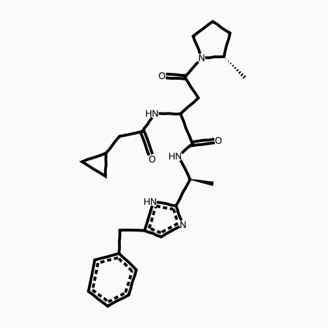 C[C@H](NC(=O)C(CC(=O)N1CCC[C@@H]1C)NC(=O)CC1CC1)c1ncc(Cc2ccccc2)[nH]1